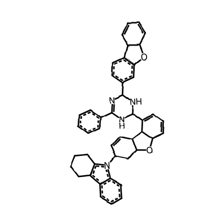 C1=CC2Oc3cc(C4N=C(c5ccccc5)NC(C5=CC=CC6OC7CC(n8c9c(c%10ccccc%108)CCCC9)C=CC7C56)N4)ccc3C2C=C1